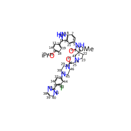 CO[C@@]1(C(=O)Nc2ccc3[nH]nc(-c4ccc(OC(C)C)cc4)c3c2)CCN(CC(=O)N2CCN(c3ccc(-c4ncccn4)c(F)c3)CC2)C1